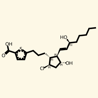 CCCCC[C@H](O)C=C[C@@H]1[C@@H](CCCc2ccc(C(=O)O)s2)[C@H](Cl)C[C@H]1O